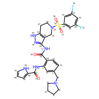 O=C(Nc1cc(CN2CCCC2)ccc1C(=O)Nc1n[nH]c2c1CN(S(=O)(=O)c1cc(F)cc(F)c1)CC2)c1ccc[nH]1